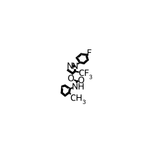 Cc1ccccc1NC(=O)Oc1cnn(-c2ccc(F)cc2)c1C(F)(F)F